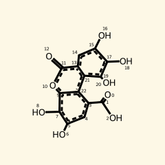 O=C(O)c1cc(O)c(O)c2oc(=O)c3cc(O)c(O)c(O)c3c12